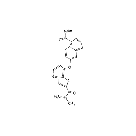 CNC(=O)c1cccc2cc(Oc3ccnc4cc(C(=O)N(C)C)sc34)ccc12